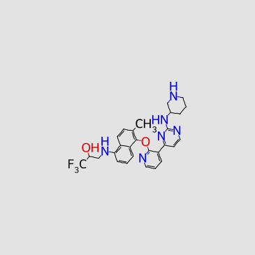 Cc1ccc2c(NCC(O)C(F)(F)F)cccc2c1Oc1ncccc1-c1ccnc(NC2CCCNC2)n1